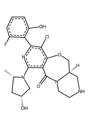 C[C@H]1C[C@@H](O)CN1c1nc(-c2c(O)cccc2F)c(Cl)c2c1C(=O)N1CCNC[C@@H]1CO2